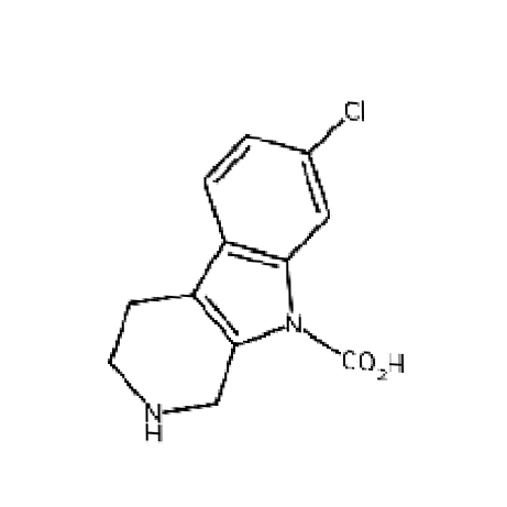 O=C(O)n1c2c(c3ccc(Cl)cc31)CCNC2